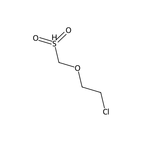 O=[SH](=O)COCCCl